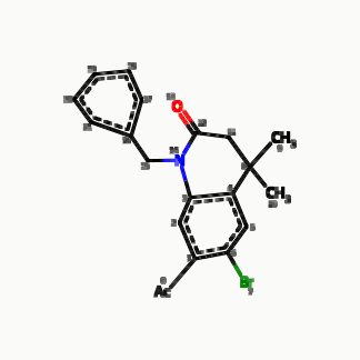 CC(=O)c1cc2c(cc1Br)C(C)(C)CC(=O)N2Cc1ccccc1